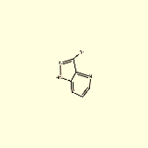 Brc1n[nH]c2cccnc12